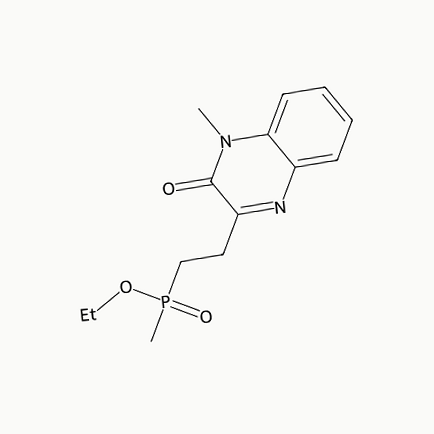 CCOP(C)(=O)CCc1nc2ccccc2n(C)c1=O